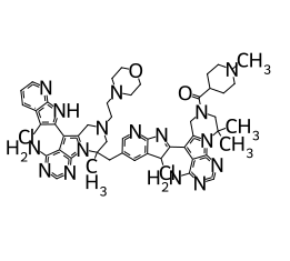 CN1CCC(C(=O)N2Cc3c(C4=Nc5ncc(CC6(C)CN(CCN7CCOCC7)Cc7c(-c8[nH]c9ncccc9c8Cl)c8c(N)ncnc8n76)cc5C4Cl)c4c(N)ncnc4n3C(C)(C)C2)CC1